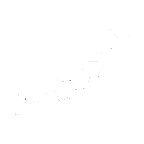 O=C(COc1ccc(Cc2cc(Cl)c(OC[C@H](O)CCl)c(Cl)c2)cc1)C(F)(F)F